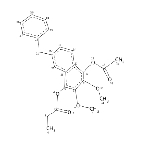 CCC(=O)Oc1c(OC)c(OC)c(OC(C)=O)c2ccc(Cc3ccccc3)cc12